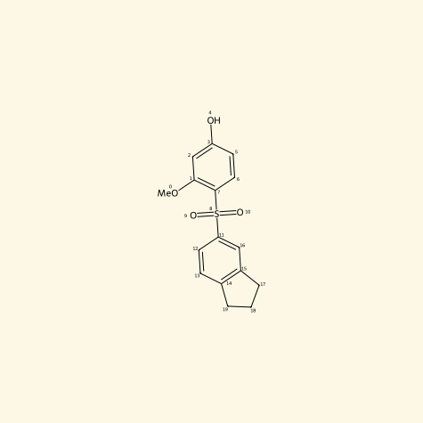 COc1cc(O)ccc1S(=O)(=O)c1ccc2c(c1)CCC2